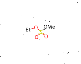 CCOS(=O)(=O)OC